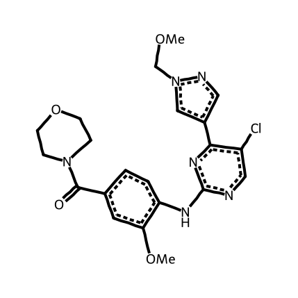 COCn1cc(-c2nc(Nc3ccc(C(=O)N4CCOCC4)cc3OC)ncc2Cl)cn1